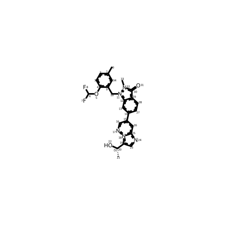 Cc1ccc(OC(F)F)c(Cn2c3cc(-c4cnn5c([C@H](C)O)cnc5c4)ccc3c(=O)n2C)c1